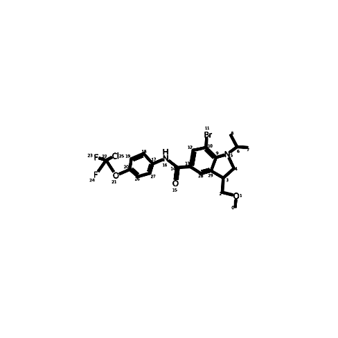 COCC1CN(C(C)C)c2c(Br)cc(C(=O)Nc3ccc(OC(F)(F)Cl)cc3)cc21